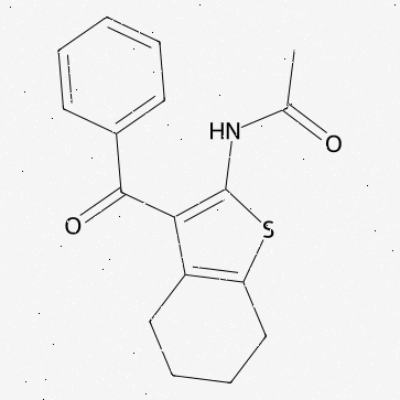 CC(=O)Nc1sc2c(c1C(=O)c1ccccc1)CCCC2